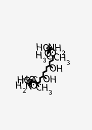 CC(C)(CCC(O)CCCC(O)CCC(C)(C)OP(N)(=O)O)OP(N)(=O)O